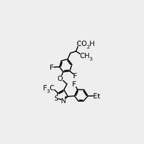 CCc1ccc(-c2nsc(C(F)(F)F)c2COc2c(F)cc(CC(C)C(=O)O)cc2F)c(F)c1